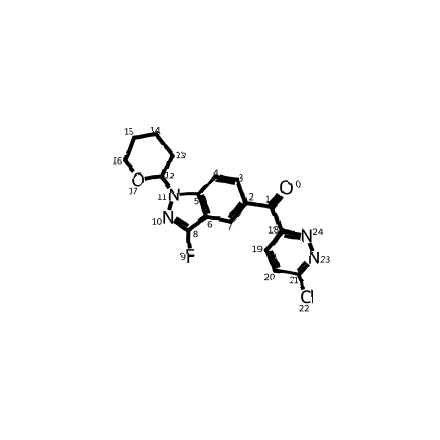 O=C(c1ccc2c(c1)c(F)nn2C1CCCCO1)c1ccc(Cl)nn1